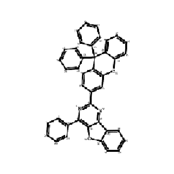 c1ccc(-c2nc(-c3ccc4c(c3)Sc3ccccc3C4(c3ccccc3)c3ccccc3)nc3c2oc2ccccc23)cc1